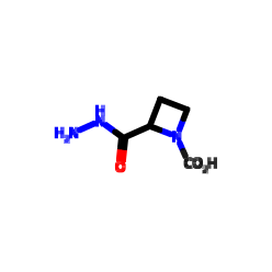 NNC(=O)C1CCN1C(=O)O